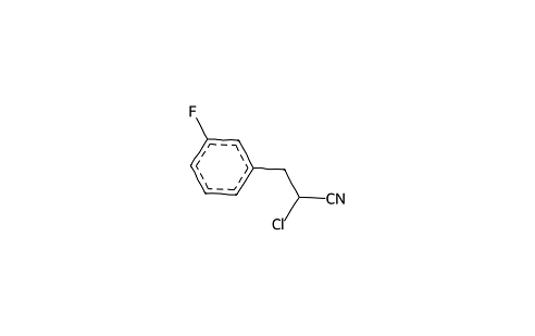 N#CC(Cl)Cc1cccc(F)c1